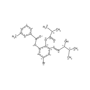 Cc1cccc(C(=O)Oc2cc(Br)cc(/C=N/C(O)C(C)C)c2OC(=O)C(C)C)c1